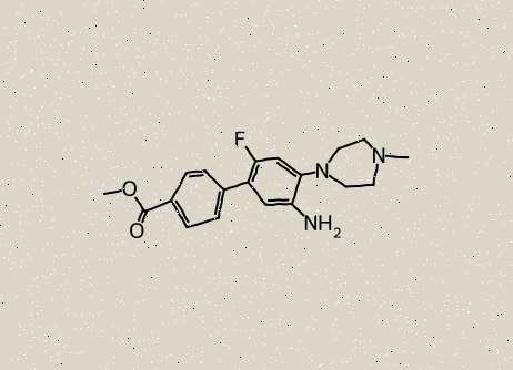 COC(=O)c1ccc(-c2cc(N)c(N3CCN(C)CC3)cc2F)cc1